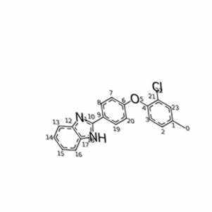 Cc1ccc(Oc2ccc(-c3nc4ccccc4[nH]3)cc2)c(Cl)c1